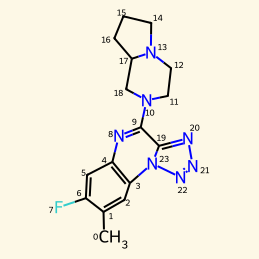 Cc1cc2c(cc1F)nc(N1CCN3CCCC3C1)c1nnnn12